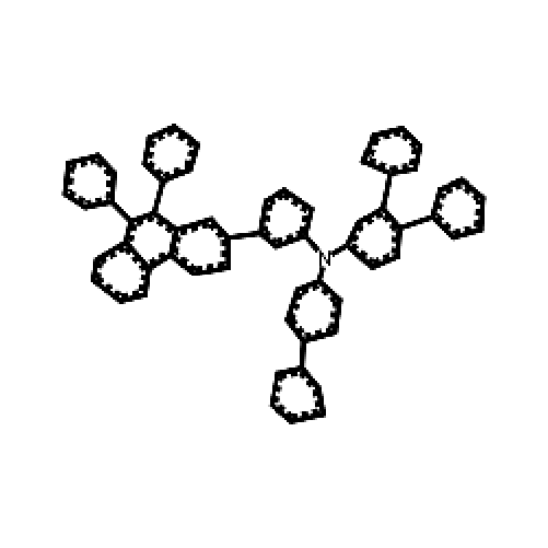 c1ccc(-c2ccc(N(c3cccc(-c4ccc5c(c4)c(-c4ccccc4)c(-c4ccccc4)c4ccccc45)c3)c3ccc(-c4ccccc4)c(-c4ccccc4)c3)cc2)cc1